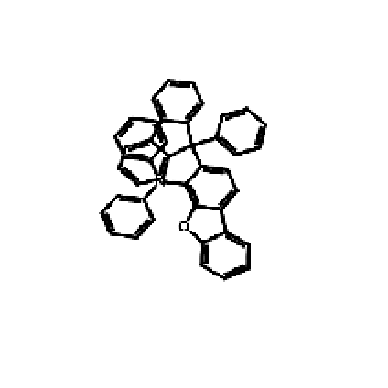 c1ccc(N(c2ccccc2)c2c(C3(c4ccccc4)c4ccccc4-c4ccccc43)ccc3c2oc2ccccc23)cc1